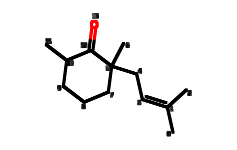 CC(C)=CCC1(C)CCCC(C)C1=O